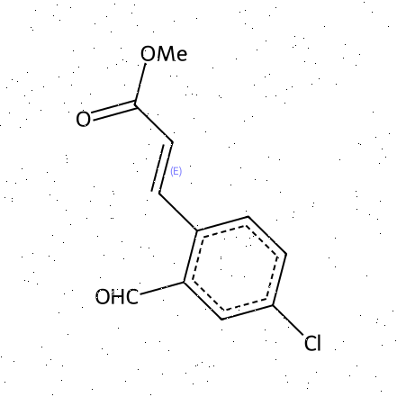 COC(=O)/C=C/c1ccc(Cl)cc1C=O